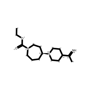 CCOC(=O)N1CCC[C@H](N2CCC(C(C)=N)CC2)CC1